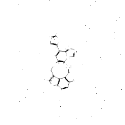 Fc1ccc2c3c1CNc1c(cc(-c4cncs4)c4nncn14)OC[C@H]3CO2